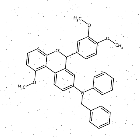 COc1ccc(C2Oc3cccc(OC)c3-c3ccc(N(Cc4ccccc4)c4ccccc4)cc32)cc1OC